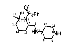 CCC(=O)N1C(CNC2CCNCC2)CCCC1(C)C